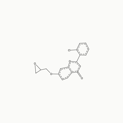 O=c1cc(-c2ccccc2Cl)oc2cc(OCC3CO3)ccc12